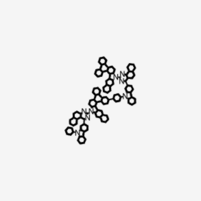 c1ccc(-n2c3ccccc3c3ccc(-c4nc(-n5c6cc7ccccc7cc6c6c7c(ccc65)c5ccccc5c5cc(-c6ccc(-n8c9ccccc9c9ccc(-c%10nc(-n%11c%12cc%13ccccc%13cc%12c%12c%13c%14ccccc%14c%14ccccc%14c%13ccc%12%11)nc%11c%10ccc%10ccccc%10%11)cc98)cc6)ccc57)nc5ccc6ccccc6c45)cc32)cc1